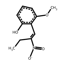 CC/C(=C\c1c(O)cccc1OC)[N+](=O)[O-]